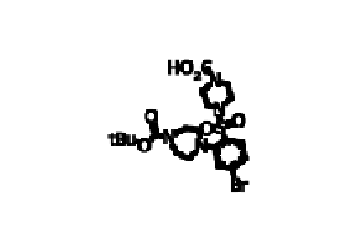 CC(C)(C)OC(=O)N1CCN(c2cc(Br)ccc2S(=O)(=O)N2CCN(C(=O)O)CC2)CC1